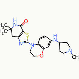 CN1CCC(Nc2ccc3c(c2)OCCN3c2nc3c(s2)C(=O)NC(C)(C)C3)CC1